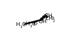 C=CCN(C)Cc1ccc(-c2ccc(C(O)CCCCCCCC(CCCCCCCCCCCCC)C(C)=O)cc2)cc1